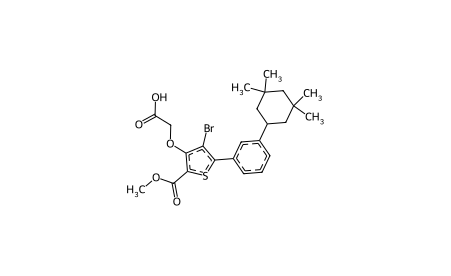 COC(=O)c1sc(-c2cccc(C3CC(C)(C)CC(C)(C)C3)c2)c(Br)c1OCC(=O)O